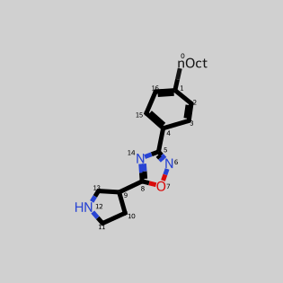 CCCCCCCCc1ccc(-c2noc(C3CCNC3)n2)cc1